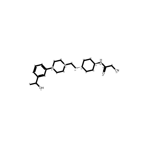 CC(O)c1cccc(N2CCN(CC[C@H]3CC[C@H](NC(=O)CC#N)CC3)CC2)c1